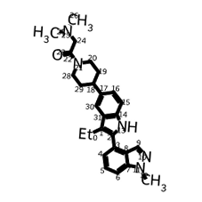 CCc1c(-c2cccc3c2cnn3C)[nH]c2ccc(C3CCN(C(=O)CN(C)C)CC3)cc12